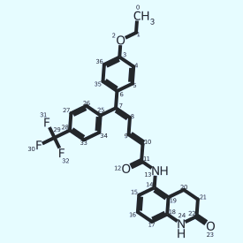 CCOc1ccc(/C(=C/C=C/C(=O)Nc2cccc3c2CCC(=O)N3)c2ccc(C(F)(F)F)cc2)cc1